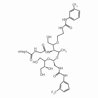 CCCCCCCC(=O)NCC(=O)N[C@H](C(C)O[C@@H](CNC(=O)Nc1cccc(C(F)(F)F)c1)OC(CO)[C@@H](O)CO)C(CO)OCCNC(=O)Nc1cccc(C(F)(F)F)c1